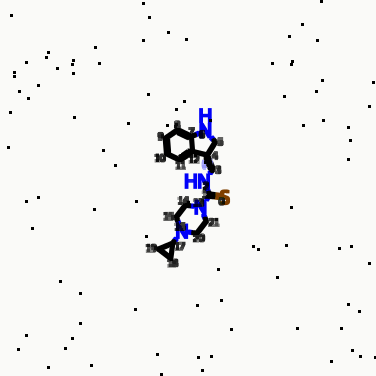 S=C(N/C=C1/CNc2ccccc21)N1CCN(C2CC2)CC1